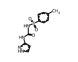 Cc1ccc(S(=O)(=O)NC(=O)Nc2cc[nH]n2)cc1